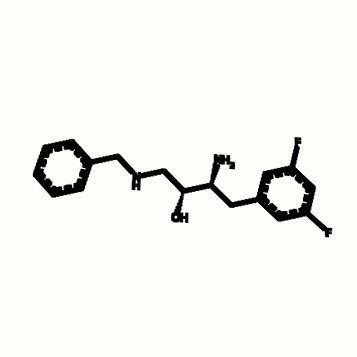 N[C@@H](Cc1cc(F)cc(F)c1)[C@H](O)CNCc1ccccc1